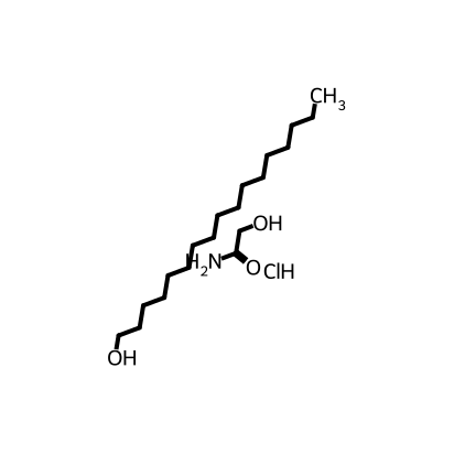 CCCCCCCCCCCCCCCCCO.Cl.NC(=O)CO